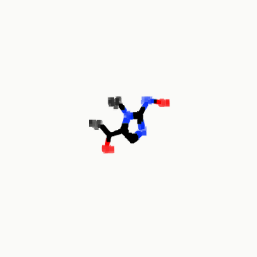 CC(O)c1cnc(NO)n1C